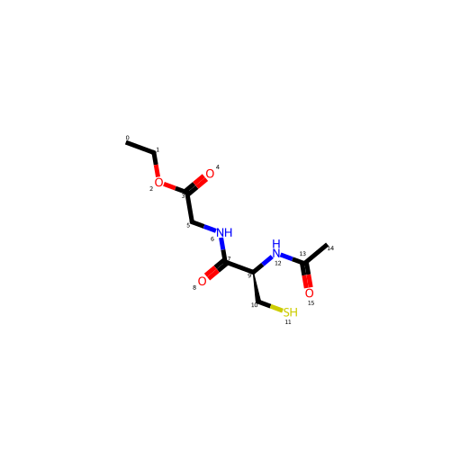 CCOC(=O)CNC(=O)[C@H](CS)NC(C)=O